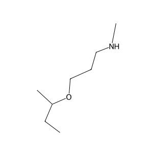 CCC(C)OCCCNC